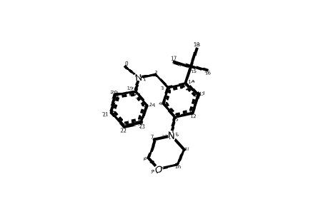 CN(Cc1cc(N2CCOCC2)ccc1C(C)(C)C)c1ccccc1